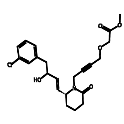 COC(=O)COCC#CCN1C(=O)CCC[C@@H]1C=CC(O)Cc1cccc(Cl)c1